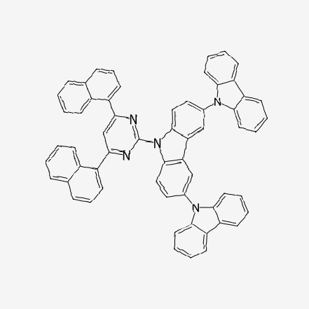 c1ccc2c(-c3cc(-c4cccc5ccccc45)nc(-n4c5ccc(-n6c7ccccc7c7ccccc76)cc5c5cc(-n6c7ccccc7c7ccccc76)ccc54)n3)cccc2c1